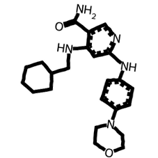 NC(=O)c1cnc(Nc2ccc(N3CCOCC3)cc2)cc1NCC1CCCCC1